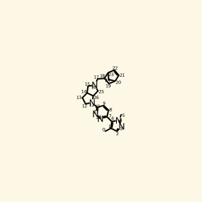 Cc1cnn(C)c1-c1ccc(N2CCC3CN(CC4CC5C=CC4C5)CC32)nn1